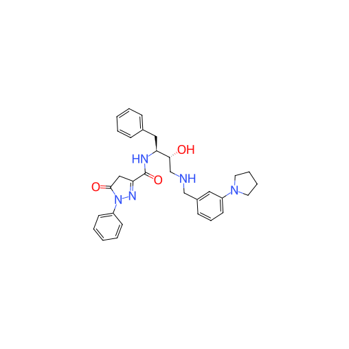 O=C(N[C@@H](Cc1ccccc1)[C@H](O)CNCc1cccc(N2CCCC2)c1)C1=NN(c2ccccc2)C(=O)C1